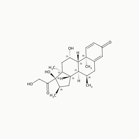 C[C@@H]1CC2=CC(=O)C=C[C@]2(C)[C@@H]2[C@@H]1[C@@H]1C[C@@H](C)[C@](O)(C(=O)CO)[C@@]1(C)C[C@@H]2O